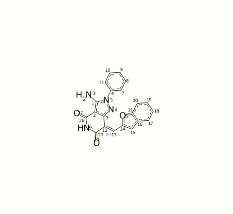 Nc1c2c(nn1-c1ccccc1)/C(=C\c1cc3ccccc3o1)C(=O)NC2=O